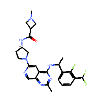 Cc1nc(NC(C)c2cccc(C(F)F)c2F)c2cc(N3CC[C@@H](NC(=O)C4CN(C)C4)C3)ncc2n1